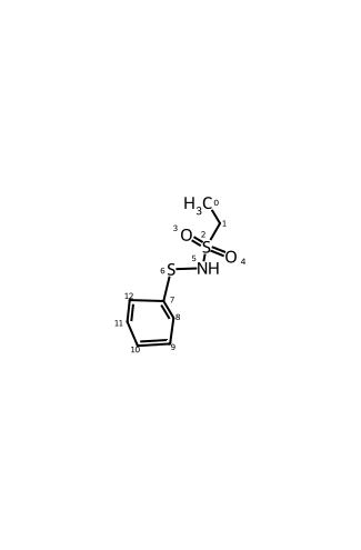 CCS(=O)(=O)NSc1ccccc1